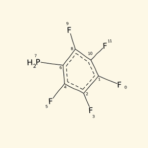 Fc1c(F)c(F)c(P)c(F)c1F